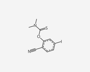 CN(C)C(=S)Oc1cc(I)ccc1C#N